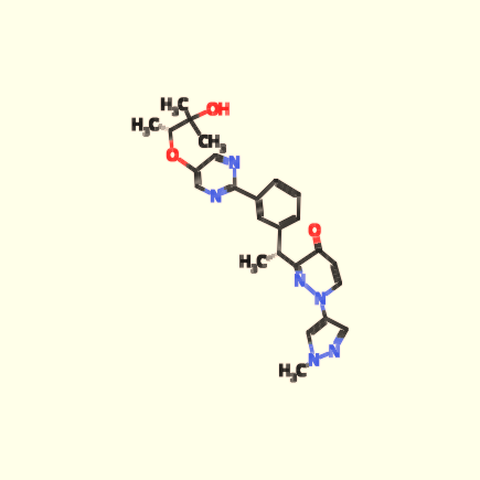 C[C@H](c1cccc(-c2ncc(O[C@H](C)C(C)(C)O)cn2)c1)c1nn(-c2cnn(C)c2)ccc1=O